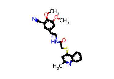 COc1cc(/C=C/NC(=O)CSc2cc(C)nc3ccccc23)cc(C#N)c1OC